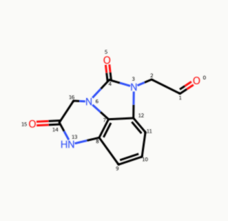 O=CCn1c(=O)n2c3c(cccc31)NC(=O)C2